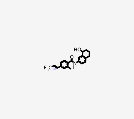 Cc1cc(/C=C/C(F)(F)F)ccc1C(=O)Nc1ccc2c(c1)C(O)CCC2